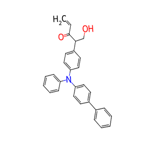 C=CC(=O)C(CO)c1ccc(N(c2ccccc2)c2ccc(-c3ccccc3)cc2)cc1